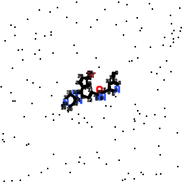 C#Cc1cncc(-c2nnc(/C=C/C3=NC4(CCN(C)CC4)N=C3c3ccc(Br)cc3)o2)c1